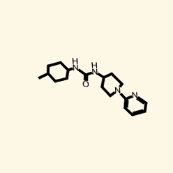 CC1CCC(NC(=O)NC2CCN(c3ccccn3)CC2)CC1